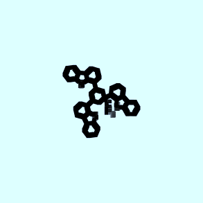 CC1(c2cccc3c2sc2ccccc23)C=C(c2cccc3c2sc2ccccc23)C=C(c2cccc3c2sc2ccccc23)C1